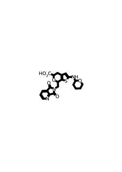 O=C(O)C1Cc2cc(NC3CCCCO3)sc2C(CN2C(=O)c3cccnc3C2=O)O1